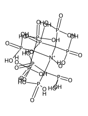 O=P(O)(O)C([N+]([O-])(C(P(=O)(O)O)(P(=O)(O)O)P(=O)(O)O)C(P(=O)(O)O)(P(=O)(O)O)P(=O)(O)O)(P(=O)(O)O)P(=O)(O)O